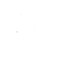 CC(C)CN1c2nc3ncccc3c(N)c2CN1Cc1ccccc1